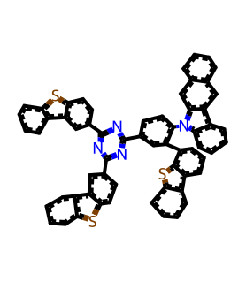 c1ccc2cc3c(cc2c1)c1ccccc1n3-c1ccc(-c2nc(-c3ccc4sc5ccccc5c4c3)nc(-c3ccc4sc5ccccc5c4c3)n2)cc1-c1cccc2c1sc1ccccc12